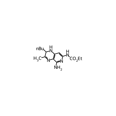 CCCCC1Nc2cc(NC(=O)OCC)nc(N)c2N=C1C